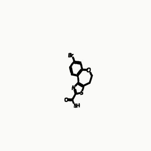 O=C(S)c1nc2c(s1)CCOc1cc(Br)ccc1-2